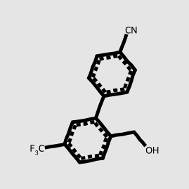 N#Cc1ccc(-c2cc(C(F)(F)F)ccc2CO)cc1